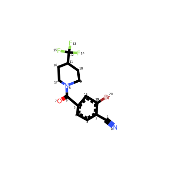 N#Cc1ccc(C(=O)N2CCC(C(F)(F)F)CC2)cc1Br